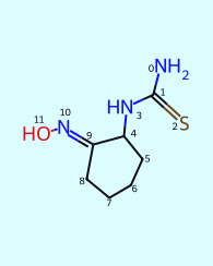 NC(=S)NC1CCCCC1=NO